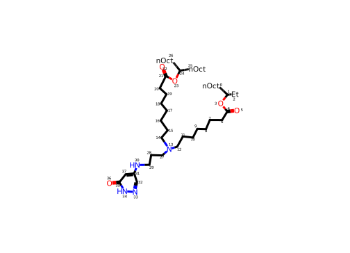 CCCCCCCCC(CC)OC(=O)CCCCCCCN(CCCCCCCC(=O)OC(CCCCCCCC)CCCCCCCC)CCCNc1cn[nH]c(=O)c1